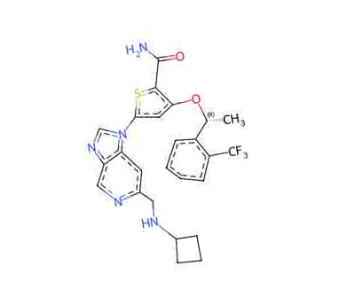 C[C@@H](Oc1cc(-n2cnc3cnc(CNC4CCC4)cc32)sc1C(N)=O)c1ccccc1C(F)(F)F